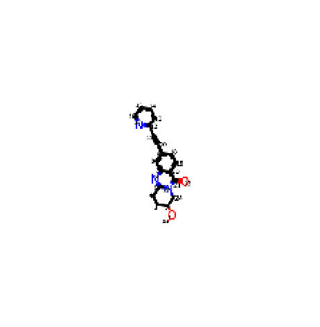 COC1CCc2nc3cc(C#Cc4ccccn4)ccc3c(=O)n2C1